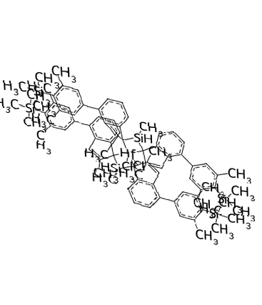 CC1=Cc2c(-c3cc(C)c([Si](C)(C)C)c(C)c3)cccc2[C]12[SiH](C)[C]1(C(C)=Cc3c(-c4cc(C)c([Si](C)(C)C)c(C)c4)cccc31)[Hf]21([Cl])([Cl])[C]2(C(C)=Cc3c(-c4cc(C)c([Si](C)(C)C)c(C)c4)cccc32)[SiH](C)[C]12C(C)=Cc1c(-c3cc(C)c([Si](C)(C)C)c(C)c3)cccc12